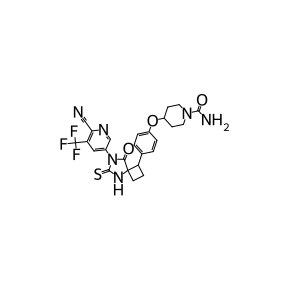 N#Cc1ncc(N2C(=O)C3(CCC3c3ccc(OC4CCN(C(N)=O)CC4)cc3)NC2=S)cc1C(F)(F)F